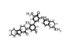 CCc1c(-c2cc(Nc3ccc4c(n3)CCN(C)C4)c(=O)n(C)c2)cc(F)cc1N1CCc2c(sc3c2CCCC3)C1=O